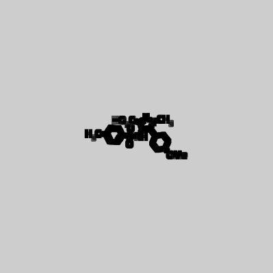 COC1CCC(c2c(NS(=O)(=O)c3ccc(C)cc3)c(C(=O)O)nn2C)CC1